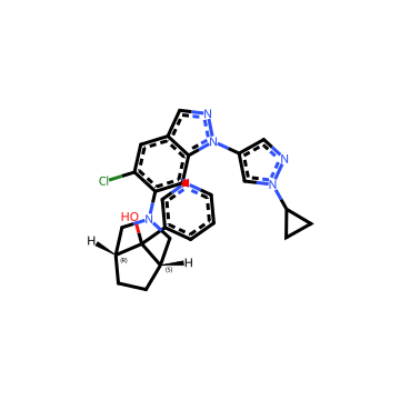 OC1(c2cccnc2)[C@@H]2CC[C@H]1CN(c1cc3c(cnn3-c3cnn(C4CC4)c3)cc1Cl)C2